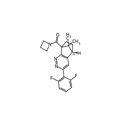 CC1(C)[C@@H]2CCC1(C(=O)N1CCC1)c1nnc(-c3c(F)cccc3F)cc12